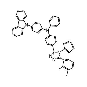 Cc1cccc(-c2nnc(-c3ccc(N(c4ccccc4)c4ccc(-n5c6ccccc6c6ccccc65)cc4)cc3)n2-c2ccccc2)c1C